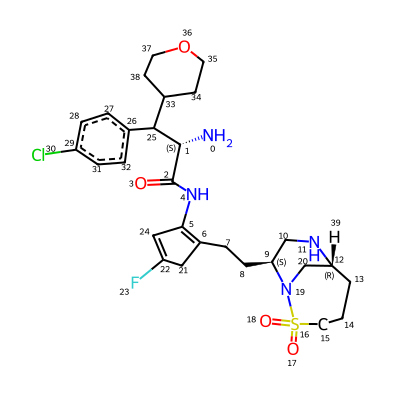 N[C@H](C(=O)NC1=C(CC[C@H]2CN[C@@H]3CCCS(=O)(=O)N2C3)CC(F)=C1)C(c1ccc(Cl)cc1)C1CCOCC1